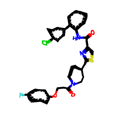 O=C(Nc1ccccc1-c1ccc(Cl)cc1)c1csc(C2CCN(C(=O)COc3ccc(F)cc3)CC2)n1